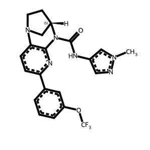 Cn1cc(NC(=O)N2c3nc(-c4cccc(OC(F)(F)F)c4)ccc3N3CC[C@H]2C3)cn1